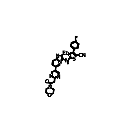 CCc1nc2ccc(-c3cnc(CC(=O)N4CCOCC4)nc3)cn2c1N(C)c1nc(-c2ccc(F)cc2)c(C#N)s1